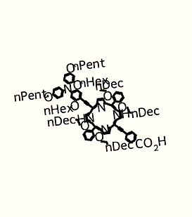 CCCCCCCCCCCCOc1cccc(OCCCCCCCCCCCC)c1-c1c2nc(c(C#Cc3cc(OCCCCCC)c(N(c4ccc(OCCCCC)cc4)c4ccc(OCCCCC)cc4)cc3OCCCCCC)c3ccc([nH]3)c(-c3c(OCCCCCCCCCCCC)cccc3OCCCCCCCCCCCC)c3nc(c(C#Cc4ccc(C(=O)O)cc4)c4ccc1[nH]4)C=C3)C=C2